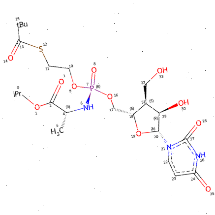 CC(C)OC(=O)[C@@H](C)N[P@](=O)(OCCSC(=O)C(C)(C)C)OC[C@H]1O[C@@H](n2ccc(=O)[nH]c2=O)[C@H](O)[C@@H]1CO